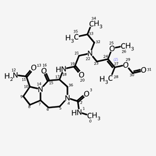 CNC(=O)N1CCC2CCC(C(N)=O)N2C(=O)C(NC(=O)CN(C/C(OC)=C(\C)OC=O)CC(C)C)C1